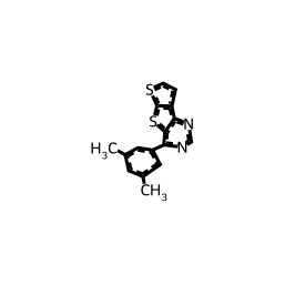 Cc1cc(C)cc(-c2ncnc3c2sc2sccc23)c1